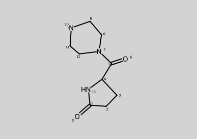 O=C1CCC(C(=O)N2CC[N]CC2)N1